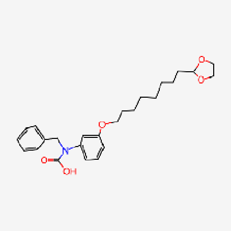 O=C(O)N(Cc1ccccc1)c1cccc(OCCCCCCCCC2OCCO2)c1